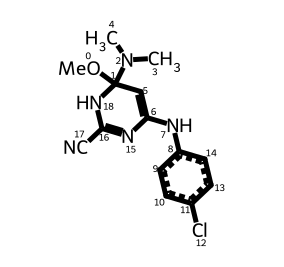 COC1(N(C)C)C=C(Nc2ccc(Cl)cc2)N=C(C#N)N1